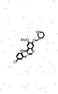 COc1cc2c(Nc3ccc(Cl)cc3F)ncnc2cc1OC[C@@H]1CCCNC1